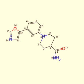 NC(=O)C1CCN(c2cccc(-c3cnco3)c2)CC1